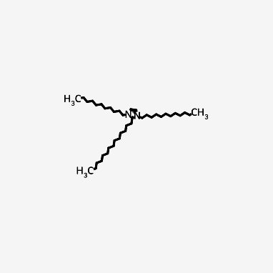 CCCCCCCCCCCCCCc1n(CCCCCCCCCCCC)cc[n+]1CCCCCCCCCCC